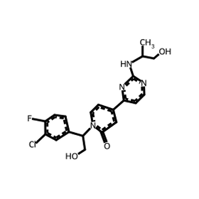 CC(CO)Nc1nccc(-c2ccn(C(CO)c3ccc(F)c(Cl)c3)c(=O)c2)n1